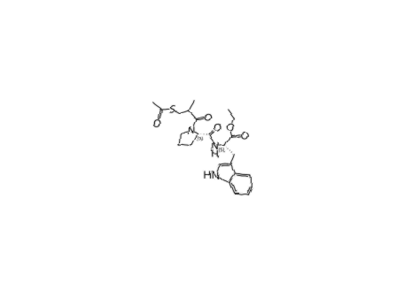 CCOC(=O)[C@H](Cc1c[nH]c2ccccc12)NC(=O)[C@@H]1CCCN1C(=O)C(C)CSC(C)=O